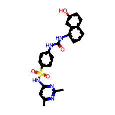 Cc1cc(NS(=O)(=O)c2ccc(NC(=O)Nc3cccc4ccc(O)cc34)cc2)nc(C)n1